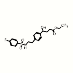 CCOC(=O)CCC(O)c1ccc(CCNS(=O)(=O)c2ccc(F)cc2)cc1